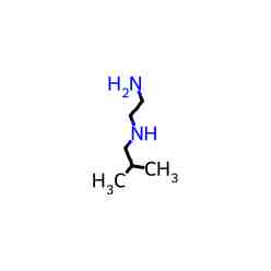 CC(C)CNCCN